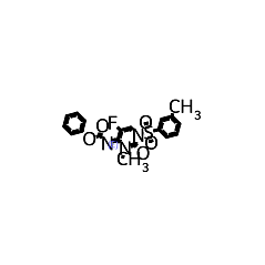 Cc1cccc(S(=O)(=O)n2cc(F)/c(=N\C(=O)Oc3ccccc3)n(C)c2=O)c1